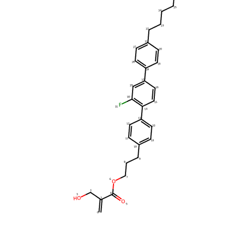 C=C(CO)C(=O)OCCCc1ccc(-c2ccc(-c3ccc(CCCCC)cc3)cc2F)cc1